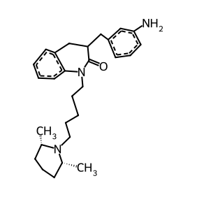 C[C@@H]1CCC[C@H](C)N1CCCCCN1C(=O)C(Cc2cccc(N)c2)Cc2ccccc21